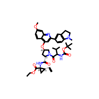 C=C[C@@H]1C[C@]1(NC(=O)[C@@H]1C[C@@H](Oc2cc(-c3ccc4c(c3)CCN4C)nc3cc(OC)ccc23)CN1C(=O)C(NC(=O)OC(C)(C)C)C(C)C)C(=O)OCC